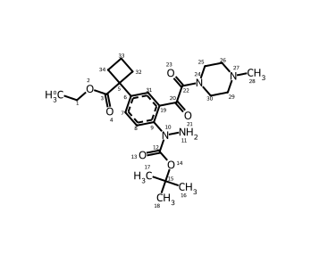 CCOC(=O)C1(c2ccc(N(N)C(=O)OC(C)(C)C)c(C(=O)C(=O)N3CCN(C)CC3)c2)CCC1